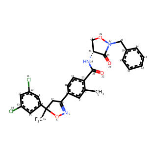 Cc1cc(C2=NOC(c3cc(Cl)cc(Cl)c3)(C(F)(F)F)C2)ccc1C(=O)N[C@@H]1CON(Cc2ccccc2)C1=O